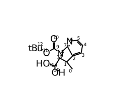 CC1c2cccnc2N(C(=O)OC(C)(C)C)C1C(O)O